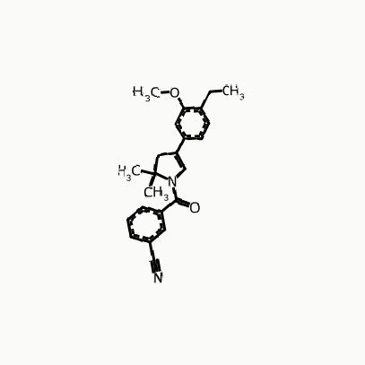 CCc1ccc(C2=CN(C(=O)c3cccc(C#N)c3)C(C)(C)C2)cc1OC